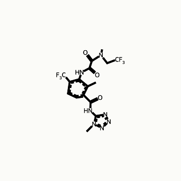 Cc1c(C(=O)Nc2nnnn2C)ccc(C(F)(F)F)c1NC(=O)C(=O)N(C)CC(F)(F)F